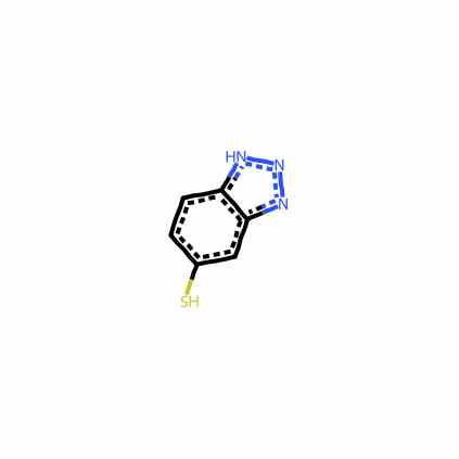 Sc1ccc2[nH]nnc2c1